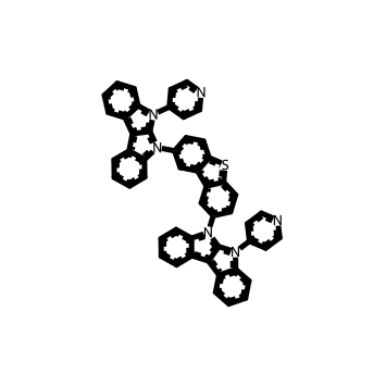 c1ccc2c(c1)c1c3ccccc3n(-c3ccc4sc5ccc(-n6c7ccccc7c7c8ccccc8n(-c8ccncc8)c76)cc5c4c3)c1n2-c1ccncc1